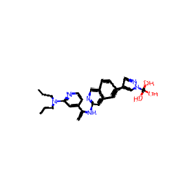 C=C(Nc1cc2cc(-c3cnn(C(O)(O)O)c3)ccc2cn1)c1ccnc(N(CCC)CCC)c1